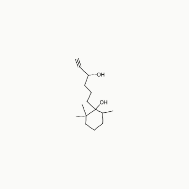 C#CC(O)CCCC1(O)C(C)CCCC1(C)C